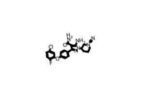 N#CN1CCCC(n2nc(-c3ccc(Oc4cc(Cl)ccc4F)cc3)c(C(N)=O)c2N)C1